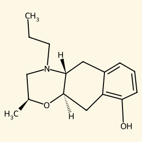 CCCN1C[C@H](C)O[C@@H]2Cc3c(O)cccc3C[C@H]21